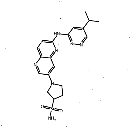 CC(C)c1cnnc(Nc2ccc3ncc(N4CCC(S(N)(=O)=O)C4)cc3n2)c1